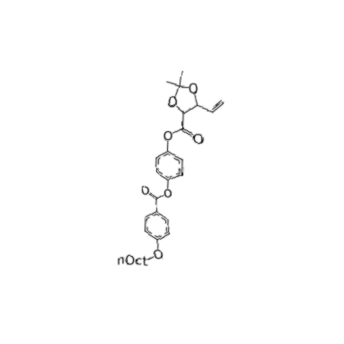 C=CC1OC(C)(C)OC1C(=O)Oc1ccc(OC(=O)c2ccc(OCCCCCCCC)cc2)cc1